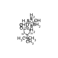 BC(B)(O)C(B)(B)Oc1ccc(C(C)(C)C)cc1OC